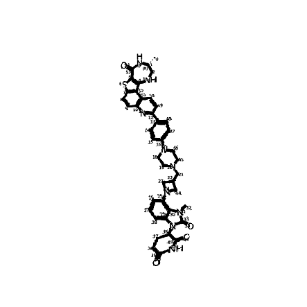 C[C@@H]1CNc2c(sc3ccc4nc(-c5ccc(N6CCN(CC7CN(c8cccc9c8n(C)c(=O)n9C8CCC(=O)NC8=O)C7)CC6)cc5)ccc4c23)C(=O)N1